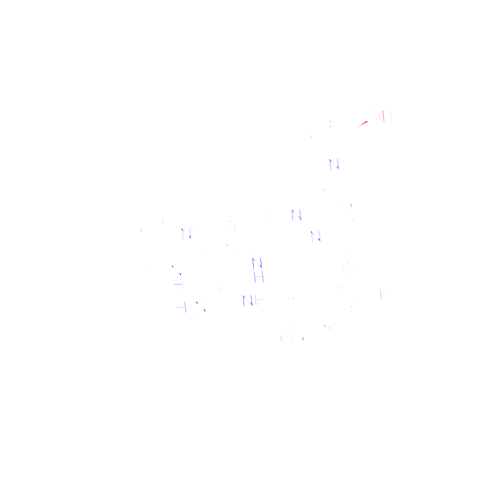 N=C(N)/C(C(=O)Nc1cn(CC(=O)N2CC[C@@H](O)C2)nc1-c1cc(Cl)ccc1OC(F)F)=C1/N=CC=CN1